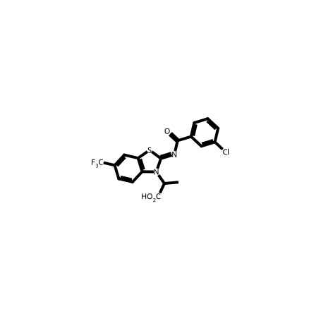 CC(C(=O)O)n1c(=NC(=O)c2cccc(Cl)c2)sc2cc(C(F)(F)F)ccc21